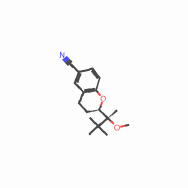 CO[C@@](C)([C@H]1CCc2cc(C#N)ccc2O1)C(C)(C)C